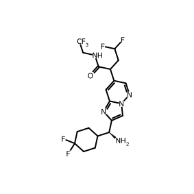 N[C@H](c1cn2ncc(C(CC(F)F)C(=O)NCC(F)(F)F)cc2n1)C1CCC(F)(F)CC1